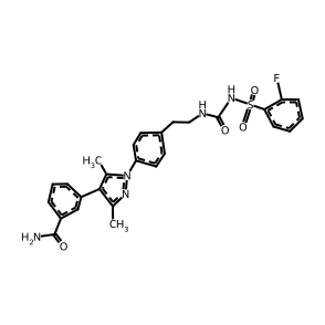 Cc1nn(-c2ccc(CCNC(=O)NS(=O)(=O)c3ccccc3F)cc2)c(C)c1-c1cccc(C(N)=O)c1